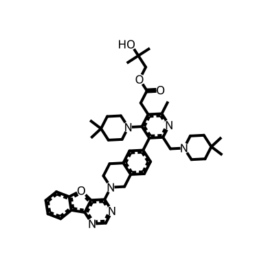 Cc1nc(CN2CCC(C)(C)CC2)c(-c2ccc3c(c2)CCN(c2ncnc4c2oc2ccccc24)C3)c(N2CCC(C)(C)CC2)c1CC(=O)OCC(C)(C)O